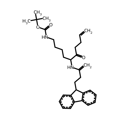 C=CCCC(=O)C(CCCCNC(=O)OC(C)(C)C)NC(=C)CCC1c2ccccc2-c2ccccc21